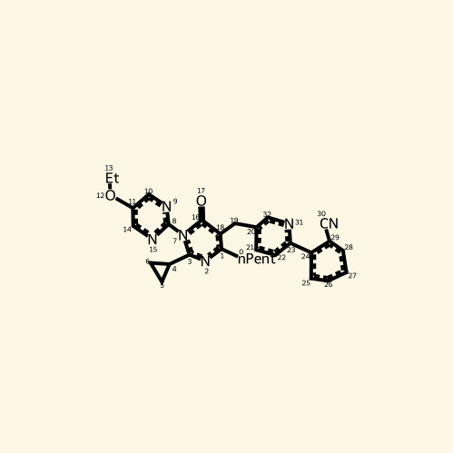 CCCCCc1nc(C2CC2)n(-c2ncc(OCC)cn2)c(=O)c1Cc1ccc(-c2ccccc2C#N)nc1